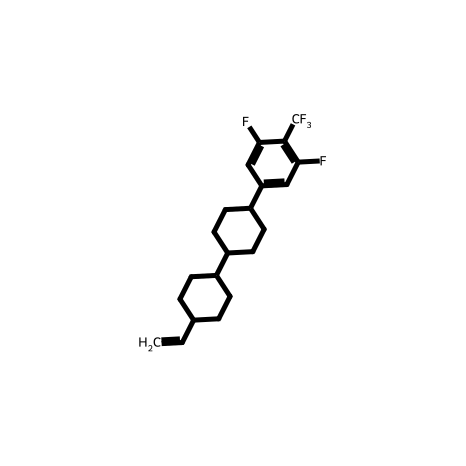 C=CC1CCC(C2CCC(c3cc(F)c(C(F)(F)F)c(F)c3)CC2)CC1